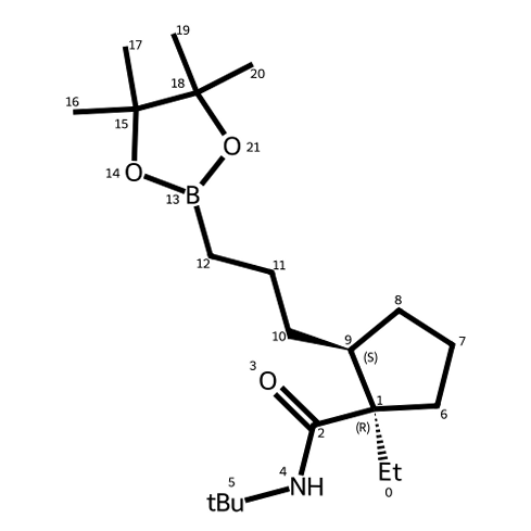 CC[C@@]1(C(=O)NC(C)(C)C)CCC[C@@H]1CCCB1OC(C)(C)C(C)(C)O1